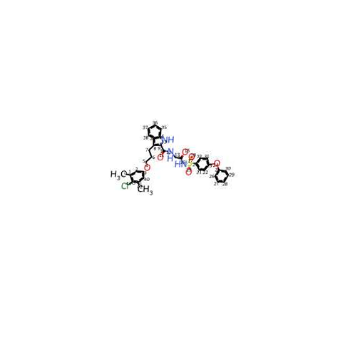 Cc1cc(OCCCc2c(C(=O)NCC(=O)NS(=O)(=O)c3ccc(Oc4ccccc4)cc3)[nH]c3ccccc23)cc(C)c1Cl